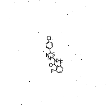 O=C(Nc1nnc(-c2ccc(Cl)cc2)s1)c1c(F)cccc1F